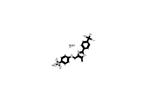 Cc1oc(-c2ccc(C(F)(F)F)cc2)nc1COc1ccc(S(=O)(=O)O)cc1.[NaH]